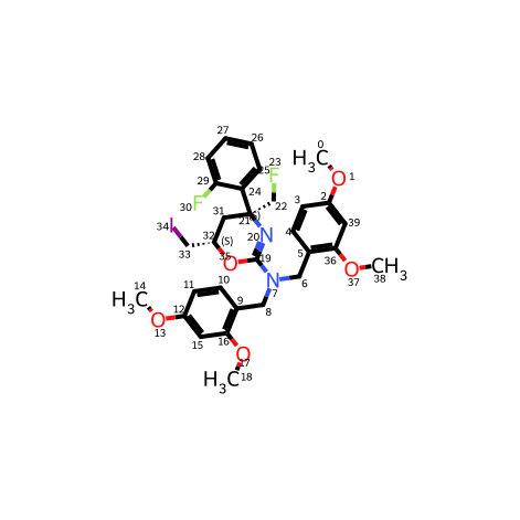 COc1ccc(CN(Cc2ccc(OC)cc2OC)C2=N[C@](CF)(c3ccccc3F)C[C@@H](CI)O2)c(OC)c1